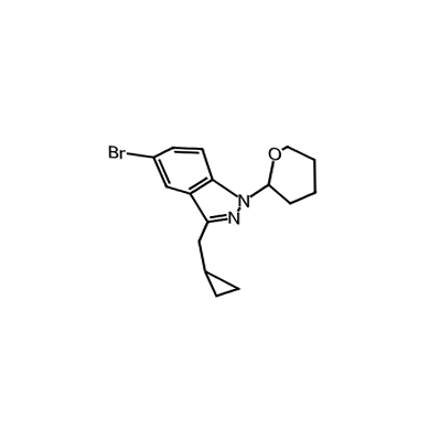 Brc1ccc2c(c1)c(CC1CC1)nn2C1CCCCO1